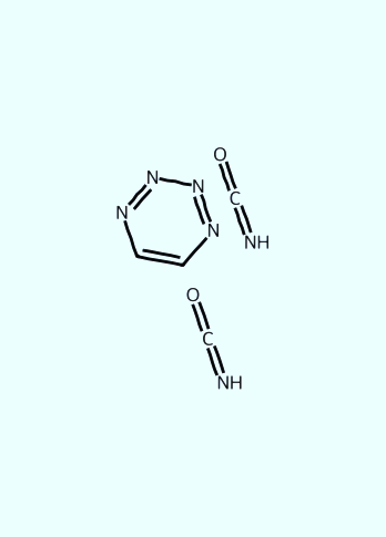 N=C=O.N=C=O.c1cnnnn1